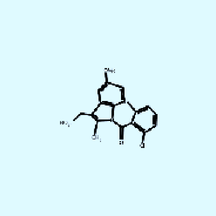 COc1ccc2c(c1)c(CC(=O)O)c(C)n2C(=O)c1c(Cl)cccc1Cl